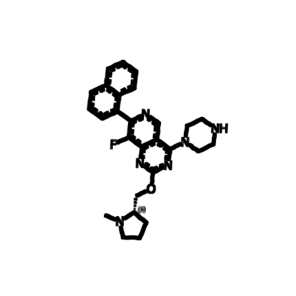 CN1CCC[C@H]1COc1nc(N2CCNCC2)c2cnc(-c3cccc4ccccc34)c(F)c2n1